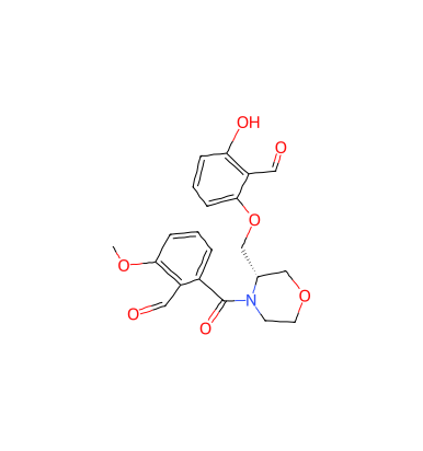 COc1cccc(C(=O)N2CCOC[C@H]2COc2cccc(O)c2C=O)c1C=O